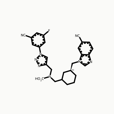 N#Cc1cc(F)cc(-n2cc(CN(CC3CCC[C@H](Cn4cnc5ccc(C#N)cc54)C3)C(=O)O)nn2)c1